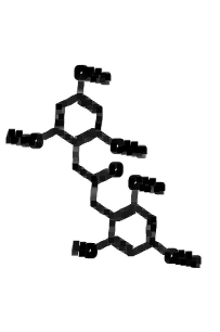 COc1cc(O)c(CC(=O)Cc2c(OC)cc(OC)cc2OC)c(OC)c1